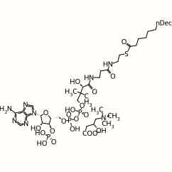 CCCCCCCCCCCCCCCC(=O)SCCNC(=O)CCNC(=O)[C@H](O)C(C)(C)COP(=O)(O)OP(=O)(O)OC[C@H]1O[C@@H](n2cnc3c(N)ncnc32)[C@H](O)[C@@H]1OP(=O)(O)O.C[N+](C)(C)CC(O)CC(=O)[O-]